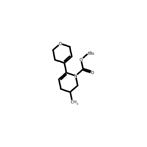 CC1CC=C(C2=CCOCC2)N(C(=O)OC(C)(C)C)C1